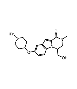 CC(C)N1CCC(Oc2ccc3c(c2)cc2n3C(CO)CN(C)C2=O)CC1